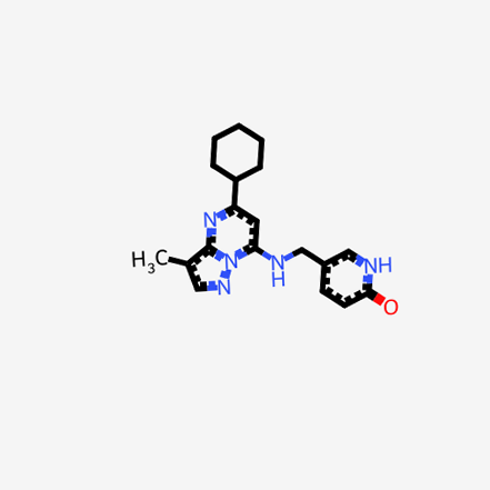 Cc1cnn2c(NCc3ccc(=O)[nH]c3)cc(C3CCCCC3)nc12